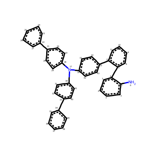 Nc1ccccc1-c1ccccc1-c1ccc(N(c2ccc(-c3ccccc3)cc2)c2ccc(-c3ccccc3)cc2)cc1